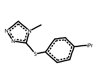 CC(C)c1ccc(Sc2nncn2C)cc1